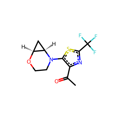 CC(=O)c1nc(C(F)(F)F)sc1N1CCO[C@H]2C[C@H]21